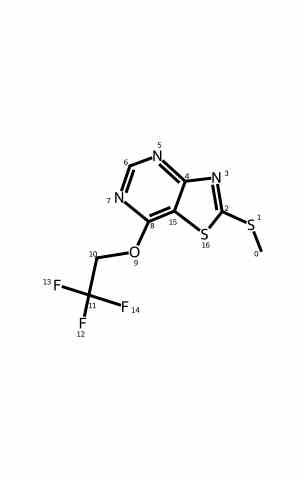 CSc1nc2ncnc(OCC(F)(F)F)c2s1